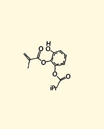 C=C(C)C(=O)Oc1c(O)cccc1OC(=O)C(C)C